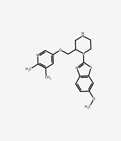 COc1ccc2nc(N3CCNCC3COc3cnc(C)c(C)c3)sc2c1